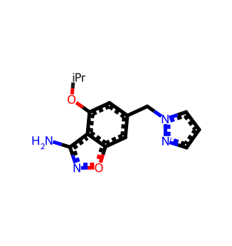 CC(C)Oc1cc(Cn2cccn2)cc2onc(N)c12